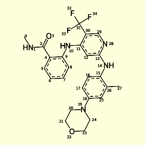 CNC(=O)c1ccccc1Nc1cc(Nc2ccc(N3CCOCC3)cc2C)ncc1C(F)(F)F